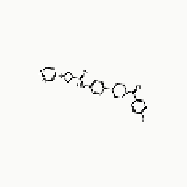 O=C(Nc1ccc(C2CCN(C(=O)c3ccc(F)cc3)CC2)cc1)C1CN(c2ccnnc2)C1